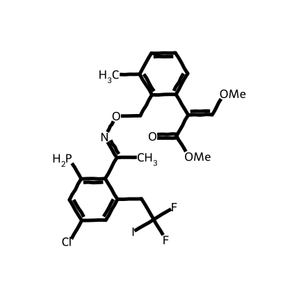 CO/C=C(/C(=O)OC)c1cccc(C)c1CO/N=C(\C)c1c(P)cc(Cl)cc1CC(F)(F)I